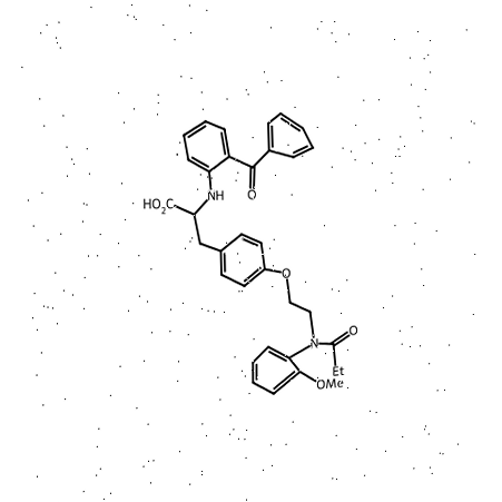 CCC(=O)N(CCOc1ccc(CC(Nc2ccccc2C(=O)c2ccccc2)C(=O)O)cc1)c1ccccc1OC